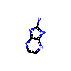 Nc1nc2n[c]cnc2[nH]1